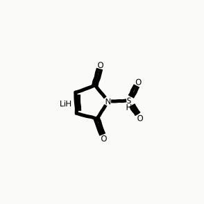 O=C1C=CC(=O)N1[SH](=O)=O.[LiH]